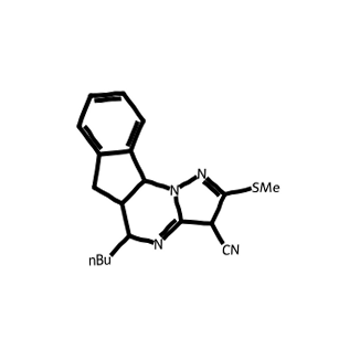 CCCCC1N=C2C(C#N)C(SC)=NN2C2c3ccccc3CC12